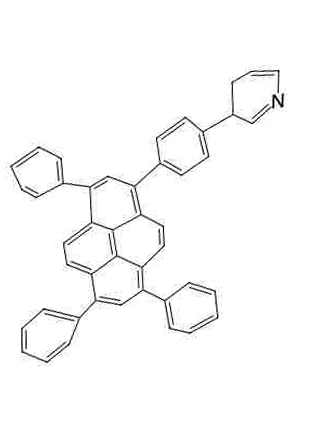 C1=CN=CC(c2ccc(-c3cc(-c4ccccc4)c4ccc5c(-c6ccccc6)cc(-c6ccccc6)c6ccc3c4c56)cc2)C1